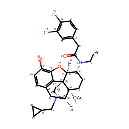 CC(=O)O[C@@]12CC[C@@H](N(CC(C)C)C(=O)Cc3ccc(Cl)c(Cl)c3)[C@@H]3Oc4c(O)ccc5c4[C@@]31CCN(CC1CC1)[C@@H]2C5